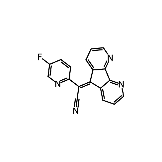 N#CC(=C1c2cccnc2-c2ncccc21)c1ccc(F)cn1